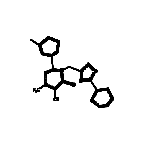 Cc1cccc(-c2cc(C(F)(F)F)c(C#N)c(=O)n2Cc2coc(-c3ccccc3)n2)c1